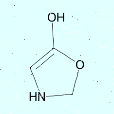 OC1=CNCO1